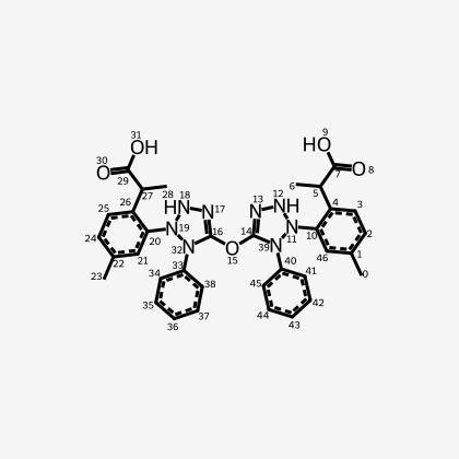 Cc1ccc(C(C)C(=O)O)c(N2NN=C(OC3=NNN(c4cc(C)ccc4C(C)C(=O)O)N3c3ccccc3)N2c2ccccc2)c1